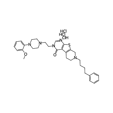 COc1ccccc1N1CCN(CCn2cnc3sc4c(c3c2=O)CCN(CCCCc2ccccc2)C4)CC1.Cl.Cl.Cl